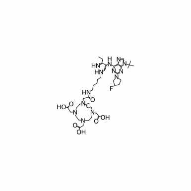 CCC(=N)/C(=C\NCCCCCNC(=O)CN1CCN(CC(=O)O)CCN(CC(=O)O)CCN(CC(=O)O)CC1)Nc1nc(N2CC[C@H](F)C2)nc2c1ncn2C(C)(C)C